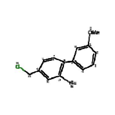 COc1cccc(-c2ccc(CCl)cc2C(C)(C)C)c1